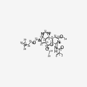 C=C(C)C(=O)Nc1cc(-c2ncnc3c2c(C(=O)OCC)cn3COCC[Si](C)(C)C)cc(OC)n1